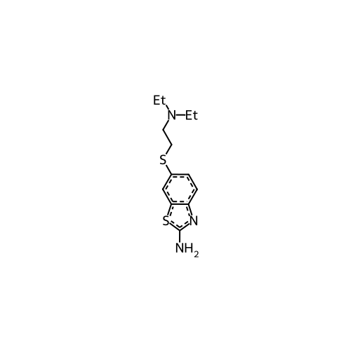 CCN(CC)CCSc1ccc2nc(N)sc2c1